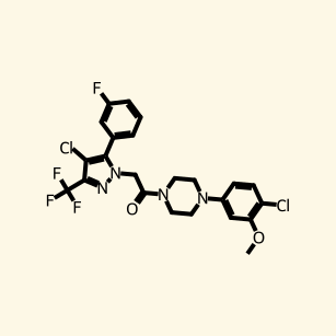 COc1cc(N2CCN(C(=O)Cn3nc(C(F)(F)F)c(Cl)c3-c3cccc(F)c3)CC2)ccc1Cl